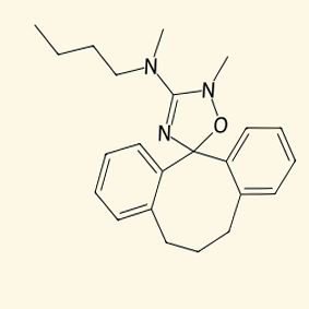 CCCCN(C)C1=NC2(ON1C)c1ccccc1CCCc1ccccc12